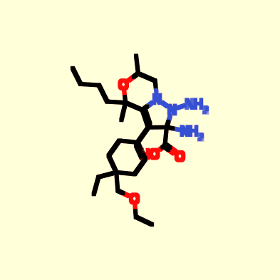 CCCCC1(C)OC(C)CN2C1=C(C1=CCC(CC)(COCC)CC1)C(N)(C(=O)O)N2N